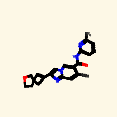 COc1cc2nc(C3CC4(CCOC4)C3)cn2cc1C(=O)Nc1cccc(C(F)(F)F)n1